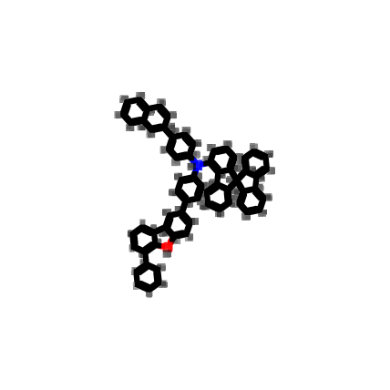 c1ccc(-c2cccc3c2oc2ccc(-c4ccc(N(c5ccc(-c6ccc7ccccc7c6)cc5)c5cccc6c5-c5ccccc5C65c6ccccc6-c6ccccc65)cc4)cc23)cc1